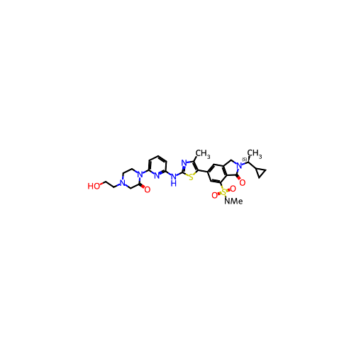 CNS(=O)(=O)c1cc(-c2sc(Nc3cccc(N4CCN(CCO)CC4=O)n3)nc2C)cc2c1C(=O)N([C@@H](C)C1CC1)C2